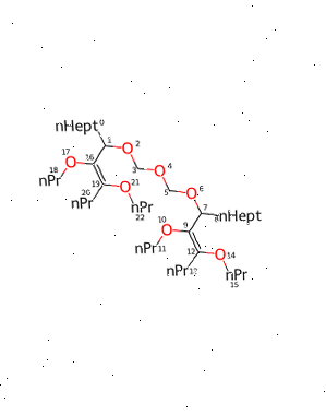 CCCCCCCC(OCOCOC(CCCCCCC)C(OCCC)=C(CCC)OCCC)C(OCCC)=C(CCC)OCCC